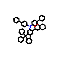 Cc1cc2c(cc1-c1cc3c(cc1N(c1ccc(-c4ccccc4)cc1)c1ccc(-c4ccccc4)cc1)C(c1ccccc1)(c1ccccc1)c1ccccc1-3)CCCC2